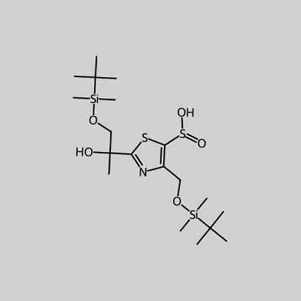 CC(O)(CO[Si](C)(C)C(C)(C)C)c1nc(CO[Si](C)(C)C(C)(C)C)c(S(=O)O)s1